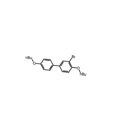 CCCCOc1ccc(-c2ccc(OCCCC)c(Br)c2)cc1